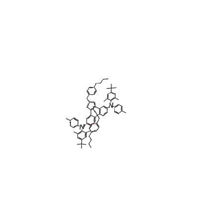 CCCCc1ccc(CC2C[C@]34CC(Cc5ccc(CCCC)cc5)C[C@@]3(C2)c2cc(N(c3ccc(C)cc3)c3c(C)cc(C(C)(C)C)cc3C)ccc2-c2ccc(N(c3ccc(C)cc3)c3c(C)cc(C(C)(C)C)cc3C)cc24)cc1